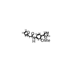 COc1cc(NC(=O)Cc2ccco2)ccc1-c1cnco1